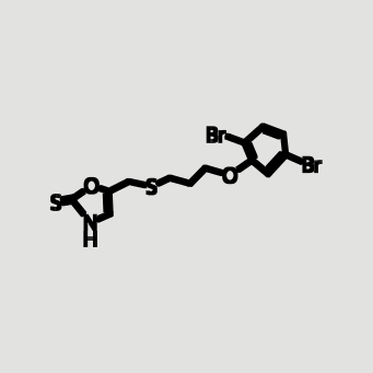 S=c1[nH]cc(CSCCCOc2cc(Br)ccc2Br)o1